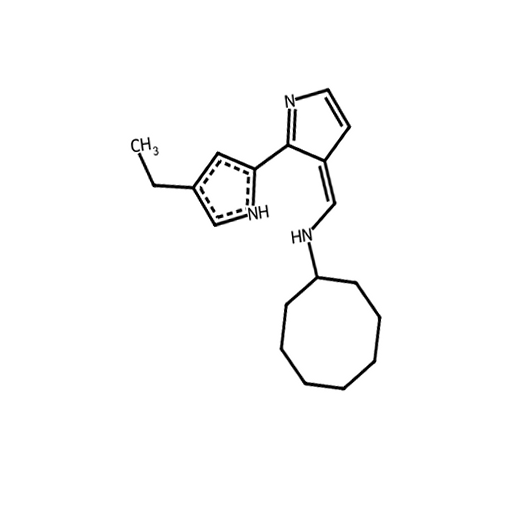 CCc1c[nH]c(C2=NC=CC2=CNC2CCCCCCC2)c1